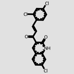 O=C(C=Cc1ccc(Cl)cc1Cl)c1cc2ccc(Cl)cc2[nH]c1=O